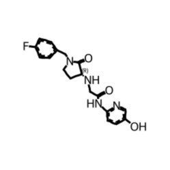 O=C(CN[C@@H]1CCN(Cc2ccc(F)cc2)C1=O)Nc1ccc(O)cn1